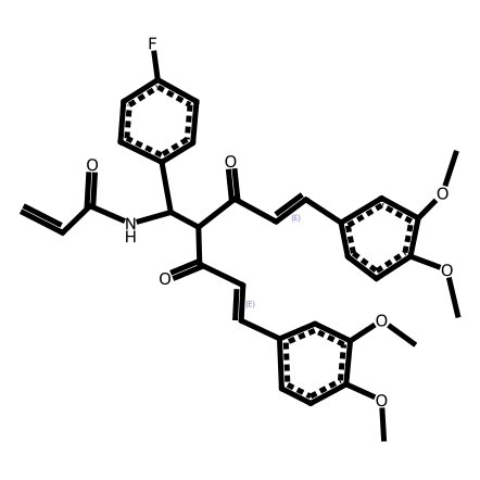 C=CC(=O)NC(c1ccc(F)cc1)C(C(=O)/C=C/c1ccc(OC)c(OC)c1)C(=O)/C=C/c1ccc(OC)c(OC)c1